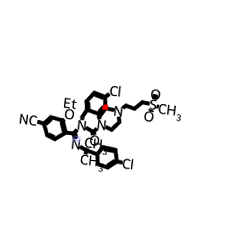 CCOc1cc(C#N)ccc1/C(=N/C(C)(C)C1C=CC(Cl)=CC1)N(Cc1ccc(Cl)cc1)C(=O)N1CCN(CCCS(C)(=O)=O)CC1